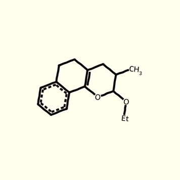 CCOC1OC2=C(CCc3ccccc32)CC1C